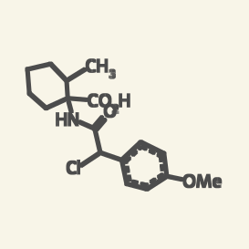 COc1ccc(C(Cl)C(=O)NC2(C(=O)O)CCCCC2C)cc1